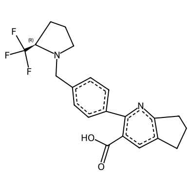 O=C(O)c1cc2c(nc1-c1ccc(CN3CCC[C@@H]3C(F)(F)F)cc1)CCC2